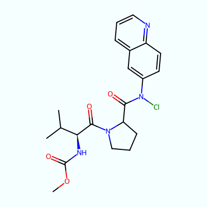 COC(=O)N[C@H](C(=O)N1CCCC1C(=O)N(Cl)c1ccc2ncccc2c1)C(C)C